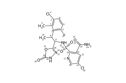 Cc1c(Cl)ccc(F)c1C(C)C(NS(=O)(=O)c1ncc(Cl)cc1C(N)=O)c1n[nH]c(=O)o1